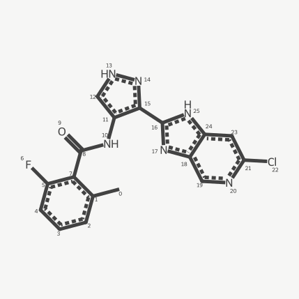 Cc1cccc(F)c1C(=O)Nc1c[nH]nc1-c1nc2cnc(Cl)cc2[nH]1